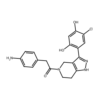 Nc1ccc(CC(=O)N2CCc3[nH]nc(-c4cc(Cl)c(O)cc4O)c3C2)cc1